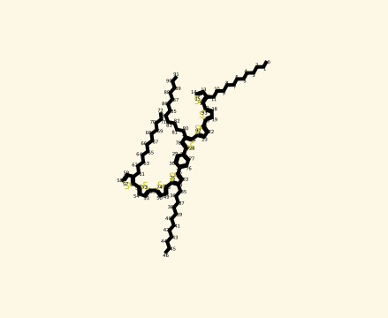 CCCCCCCCCCCCc1ccsc1-c1ccc(-c2ccc(-c3sc(-c4ccc(-c5cc(CCCCCCCCCCCC)c(-c6ccc(-c7ccc(-c8sccc8CCCCCCCCCCCC)s7)s6)s5)cc4)cc3CCCCCCCCCCCC)s2)s1